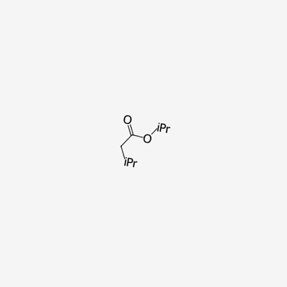 CC(C)CC(=O)OC(C)C